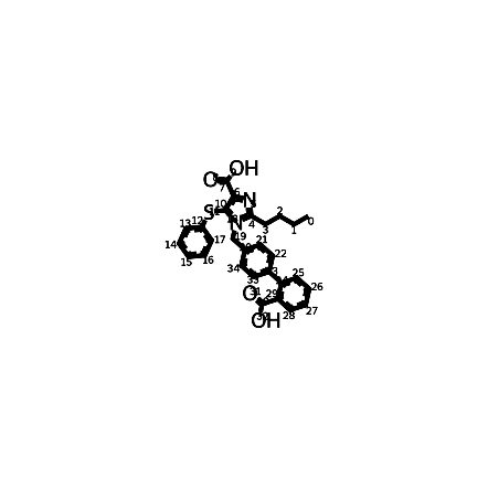 CCCCc1nc(C(=O)O)c(Sc2ccccc2)n1Cc1ccc(-c2ccccc2C(=O)O)cc1